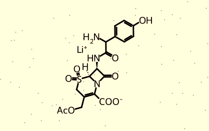 CC(=O)OCC1=C(C(=O)[O-])N2C(=O)[C@H](NC(=O)C(N)c3ccc(O)cc3)[C@@H]2S(=O)(=O)C1.[Li+]